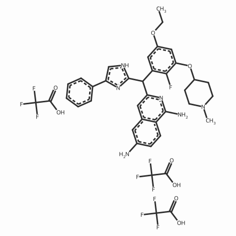 CCOc1cc(OC2CCN(C)CC2)c(F)c(C(c2cc3cc(N)ccc3c(N)n2)c2nc(-c3ccccc3)c[nH]2)c1.O=C(O)C(F)(F)F.O=C(O)C(F)(F)F.O=C(O)C(F)(F)F